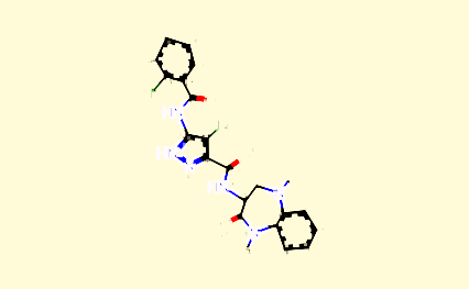 CN1CC(NC(=O)c2n[nH]c(NC(=O)c3ccccc3Cl)c2Br)C(=O)N(C)c2ccccc21